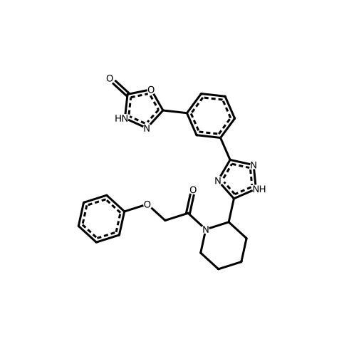 O=C(COc1ccccc1)N1CCCCC1c1nc(-c2cccc(-c3n[nH]c(=O)o3)c2)n[nH]1